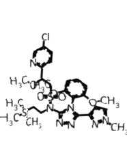 COc1cccc(OC)c1-n1c(-c2ccn(C)n2)nnc1N(CC[Si](C)(C)C)S(=O)(=O)CC(OC)c1ccc(Cl)cn1